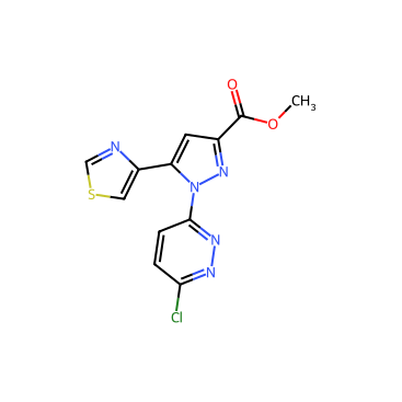 COC(=O)c1cc(-c2cscn2)n(-c2ccc(Cl)nn2)n1